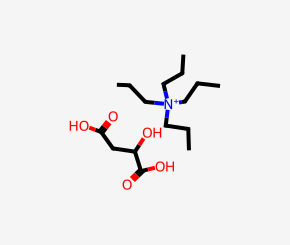 CCC[N+](CCC)(CCC)CCC.O=C(O)CC(O)C(=O)O